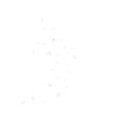 CCOC(=O)c1cnc2cc(OCC)c(N3CCCN(CC)CC3)cc2c1Nc1ccc(F)cc1F